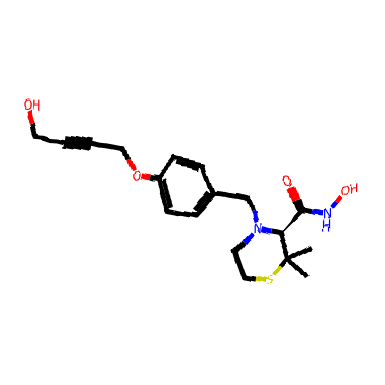 CC1(C)SCCN(Cc2ccc(OCC#CCO)cc2)[C@H]1C(=O)NO